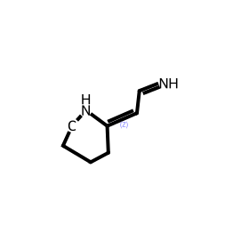 N=C/C=C1/CCCCN1